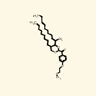 CCCCCCCCCC(C)C1OC(C(=O)c2ccc(OCCOC)cc2)OCC1CCCCCCCCC